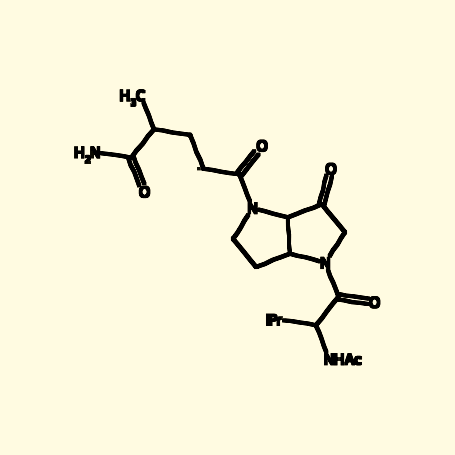 CC(=O)NC(C(=O)N1CC(=O)C2C1CCN2C(=O)[CH]CC(C)C(N)=O)C(C)C